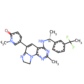 Cc1nc(N[C@H](C)c2cccc(C(C)(F)F)c2)c2c(n1)N1CCN=C1C(c1ccc(=O)n(C)c1)=C2